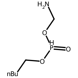 CCCCCO[PH](=O)OCN